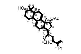 C=C(CC[C@@H](OC=O)[C@H]1C[C@H](OC(C)=O)[C@@]2(C)C3=CC[C@H]4C(C)(C)[C@@H](O)CC[C@]4(C)C3=CC[C@]12C)C(C)C